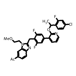 COCCn1c(Cc2c(F)cc(-c3cccnc3OC(C)c3ccc(Cl)cc3F)cc2F)nc2ccc(C(C)=O)cc21